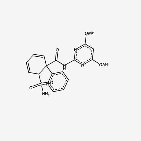 COc1cc(OC)nc(NC(=O)C2(c3ccccn3)C=CC=CC2S(N)(=O)=O)n1